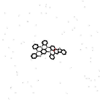 c1ccc2c(c1)Sc1cc3c4c5c1B2c1ccccc1N5c1ccccc1B4c1ccccc1N3c1ccccc1-c1ccc2sc3ccccc3c2c1